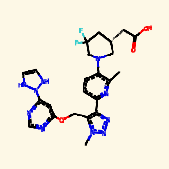 Cc1nc(-c2nnn(C)c2COc2cc(N3NC=CN3)ncn2)ccc1N1C[C@@H](CC(=O)O)CC(F)(F)C1